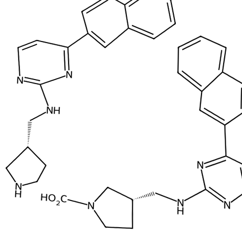 O=C(O)N1CC[C@@H](CNc2nccc(-c3ccc4ccccc4c3)n2)C1.c1ccc2cc(-c3ccnc(NC[C@@H]4CCNC4)n3)ccc2c1